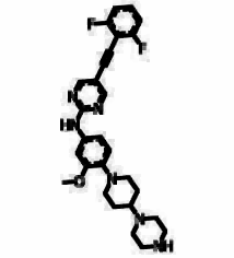 COc1cc(Nc2ncc(C#Cc3c(F)cccc3F)cn2)ccc1N1CCC(N2CCNCC2)CC1